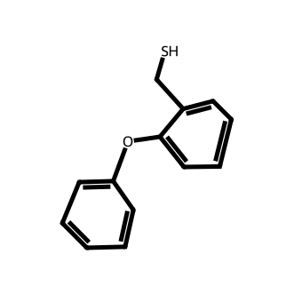 SCc1ccccc1Oc1ccccc1